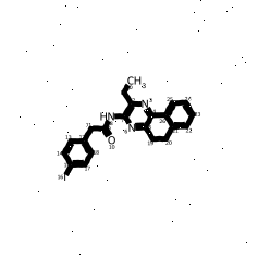 CCc1nc2c(nc1NC(=O)Cc1ccc(I)cc1)CCc1ccccc1-2